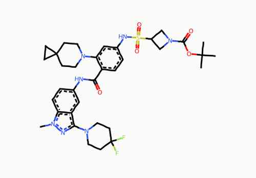 Cn1nc(N2CCC(F)(F)CC2)c2cc(NC(=O)c3ccc(NS(=O)(=O)C4CN(C(=O)OC(C)(C)C)C4)cc3N3CCC4(CC3)CC4)ccc21